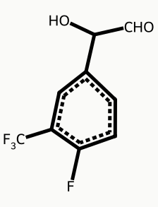 O=CC(O)c1ccc(F)c(C(F)(F)F)c1